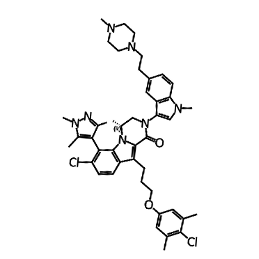 Cc1cc(OCCCc2c3n(c4c(-c5c(C)nn(C)c5C)c(Cl)ccc24)[C@H](C)CN(c2cn(C)c4ccc(CCN5CCN(C)CC5)cc24)C3=O)cc(C)c1Cl